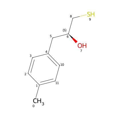 Cc1ccc(C[C@H](O)CS)cc1